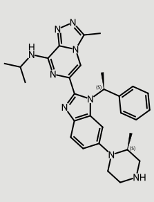 Cc1nnc2c(NC(C)C)nc(-c3nc4ccc(N5CCNC[C@@H]5C)cc4n3[C@@H](C)c3ccccc3)cn12